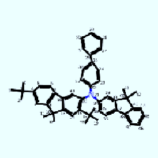 CC(C)(C)c1ccc2c(c1)C(C)(C)c1cc(C(C)(C)C)c(N(c3ccc(-c4ccccc4)cc3)c3ccc4c(c3)C(C)(C)c3ccccc3-4)cc1-2